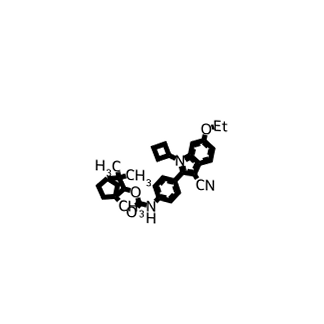 CCOc1ccc2c(C#N)c(-c3ccc(NC(=O)OC4C5(C)CCC(C5)C4(C)C)cc3)n(C3CCC3)c2c1